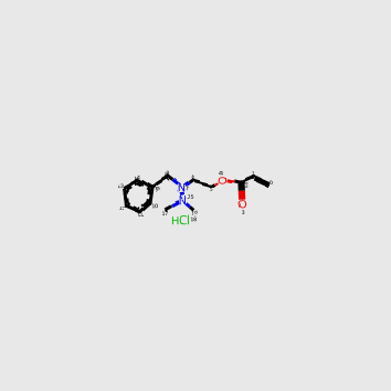 C=CC(=O)OCCN(Cc1ccccc1)N(C)C.Cl